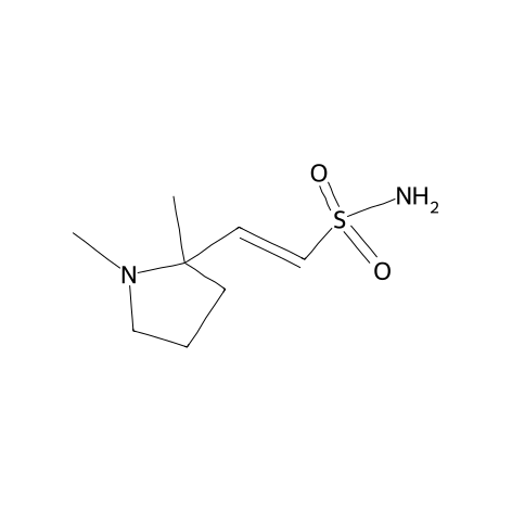 CN1CCCC1(C)C=CS(N)(=O)=O